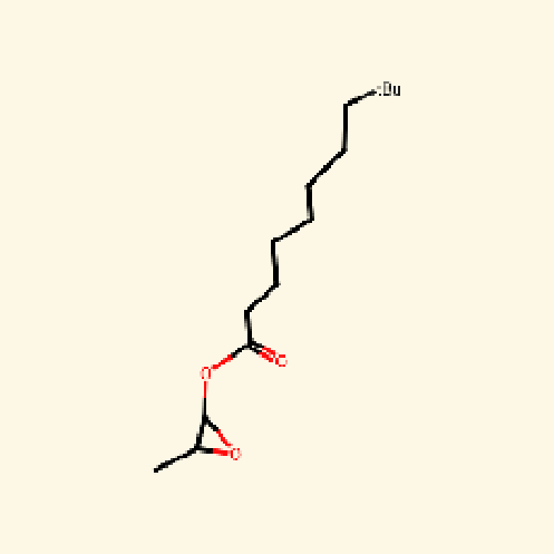 CC1OC1OC(=O)CCCCCCCC(C)(C)C